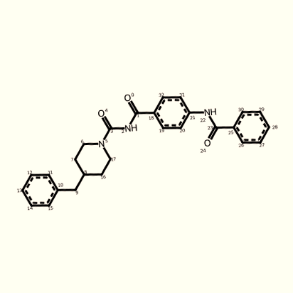 O=C(NC(=O)N1CCC(Cc2ccccc2)CC1)c1ccc(NC(=O)c2ccccc2)cc1